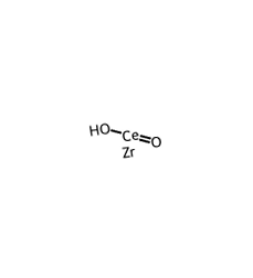 [O]=[Ce][OH].[Zr]